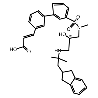 CN(C[C@H](O)CNC(C)(C)CC1Cc2ccccc2C1)S(=O)(=O)c1cccc(-c2cccc(C=CC(=O)O)c2)c1